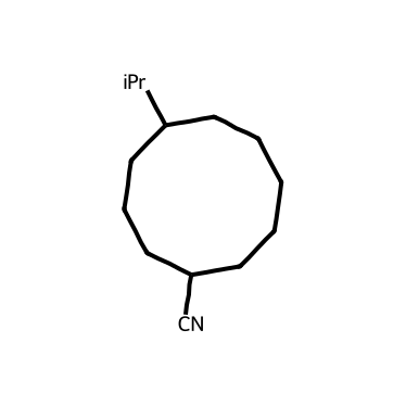 CC(C)C1CCCCCC(C#N)CCC1